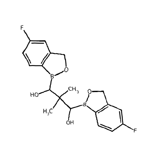 CC(C)(C(O)B1OCc2cc(F)ccc21)C(O)B1OCc2cc(F)ccc21